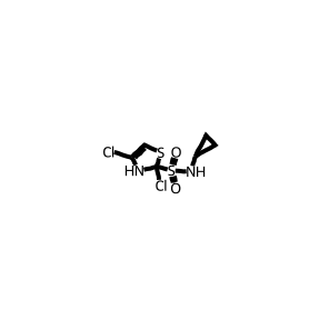 O=S(=O)(NC1CC1)C1(Cl)NC(Cl)=CS1